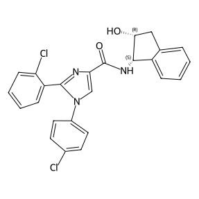 O=C(N[C@H]1c2ccccc2C[C@H]1O)c1cn(-c2ccc(Cl)cc2)c(-c2ccccc2Cl)n1